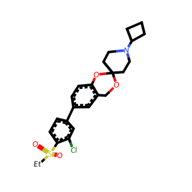 CCS(=O)(=O)c1ccc(-c2ccc3c(c2)COC2(CCN(C4CCC4)CC2)O3)cc1Cl